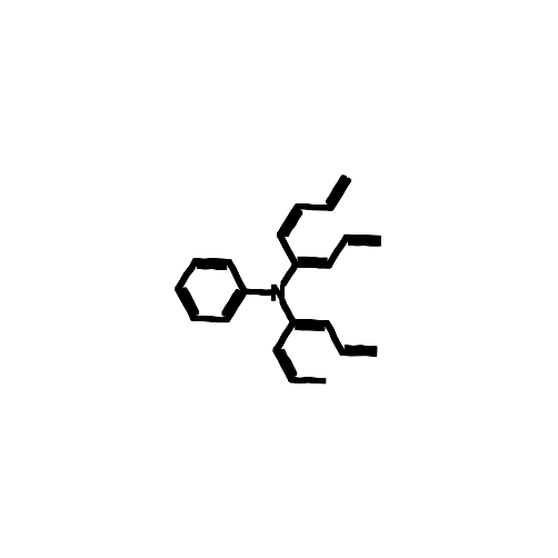 C=C/C=C\C(=C/C=C)N(C(/C=C\C)=C/C=C)c1ccccc1